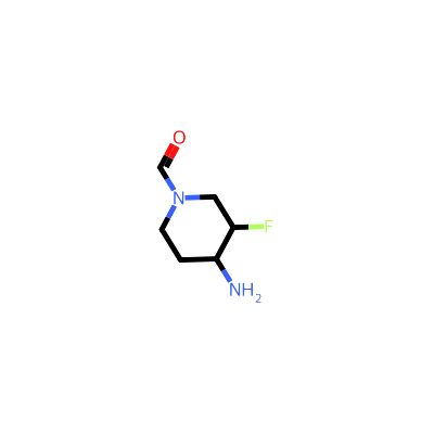 NC1CCN(C=O)CC1F